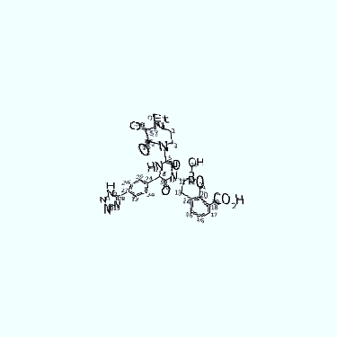 CCN1CCN(C(=O)NC(C(=O)N[C@H]2Cc3cccc(C(=O)O)c3OB2O)c2ccc(-c3nnn[nH]3)cc2)C(=O)C1=O